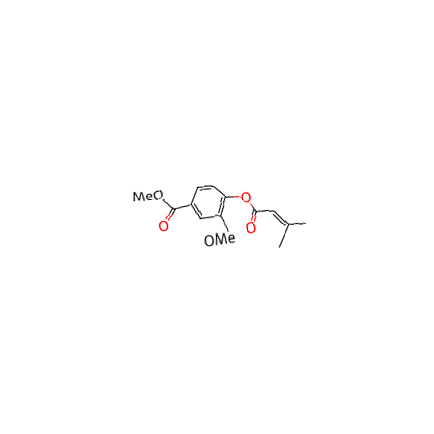 COC(=O)c1ccc(OC(=O)C=C(C)C)c(OC)c1